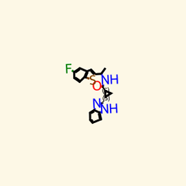 CC(NC(=O)[C@H]1C[C@@H]1c1nc2ccccc2[nH]1)c1cc2cc(F)ccc2s1